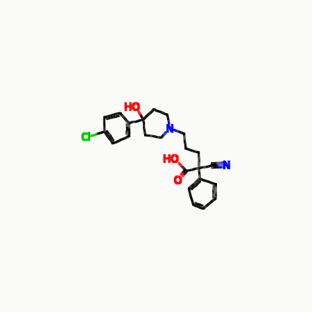 N#CC(CCCN1CCC(O)(c2ccc(Cl)cc2)CC1)(C(=O)O)c1ccccc1